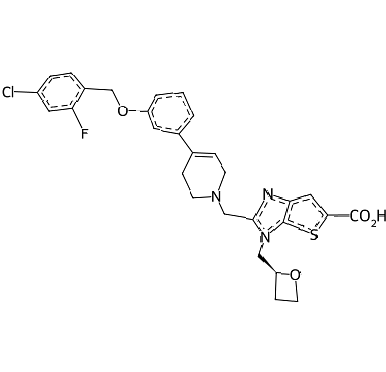 O=C(O)c1cc2nc(CN3CC=C(c4cccc(OCc5ccc(Cl)cc5F)c4)CC3)n(C[C@@H]3CCO3)c2s1